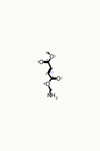 COC(=O)/C=C/C(=O)OCN